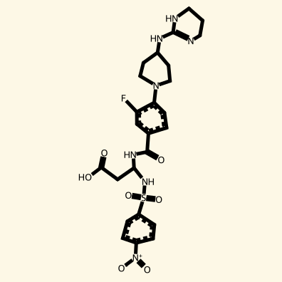 O=C(O)CC(NC(=O)c1ccc(N2CCC(NC3=NCCCN3)CC2)c(F)c1)NS(=O)(=O)c1ccc([N+](=O)[O-])cc1